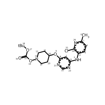 Cc1ccc(Nc2cc(OC3CCN(OC(=O)OC(C)(C)C)CC3)ncn2)c(Cl)n1